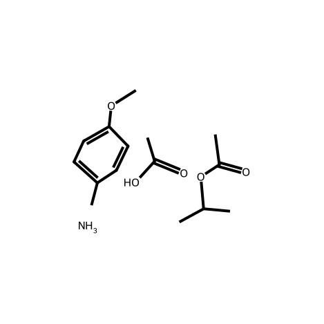 CC(=O)O.CC(=O)OC(C)C.COc1ccc(C)cc1.N